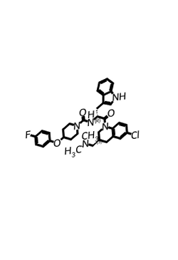 CN(C)C[C@@H]1Cc2cc(Cl)ccc2N(C(=O)[C@@H](Cc2c[nH]c3ccccc23)NC(=O)N2CCC(Oc3ccc(F)cc3)CC2)C1